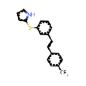 FC(F)(F)c1ccc(/C=C/c2cccc(Sc3ccc[nH]3)c2)cc1